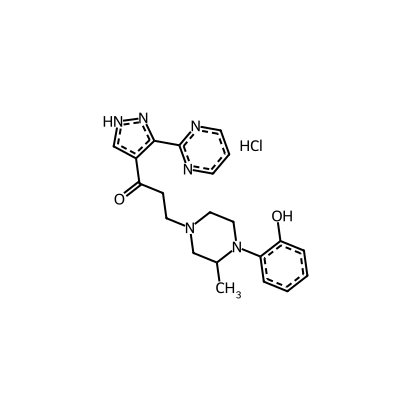 CC1CN(CCC(=O)c2c[nH]nc2-c2ncccn2)CCN1c1ccccc1O.Cl